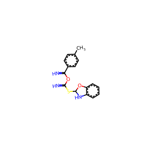 Cc1ccc(C(=N)OC(=N)SC2Nc3ccccc3O2)cc1